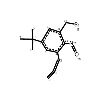 C=C=Cc1cc(C(C)(C)C)cc(CBr)c1N=O